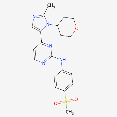 Cc1ncc(-c2ccnc(Nc3ccc(S(C)(=O)=O)cc3)n2)n1C1CCOCC1